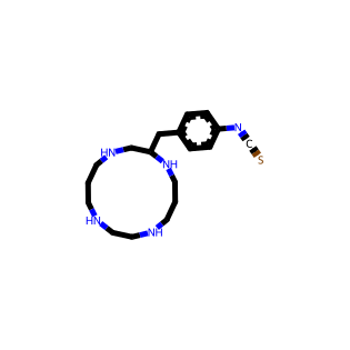 S=C=Nc1ccc(CC2CNCCCNCCNCCCN2)cc1